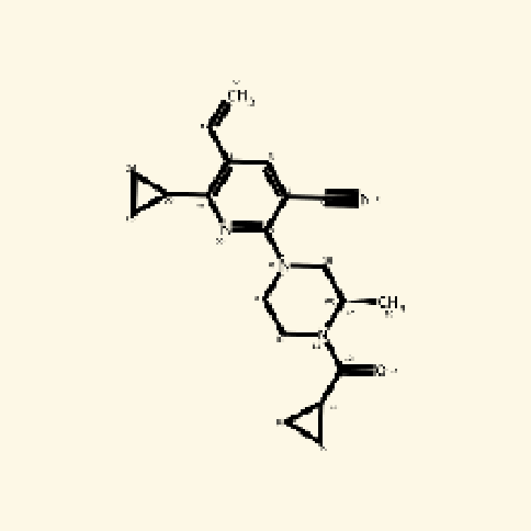 C=Cc1cc(C#N)c(N2CCN(C(=O)C3CC3)[C@H](C)C2)nc1C1CC1